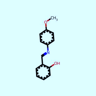 COc1ccc(N=Cc2ccccc2O)cc1